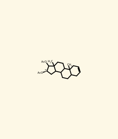 CC(=O)OC1[C@H](OC(C)=O)CC2C3CCC4CC=CCC4(C)C3CCC21C